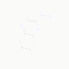 NNc1nc2cc(F)c(Cl)cc2nc1Cl